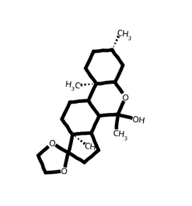 C[C@H]1CC[C@@]2(C)C(C1)OC(C)(O)C1C2CC[C@@]2(C)C1CCC21OCCO1